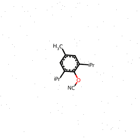 Cc1cc(C(C)C)c(OC#N)c(C(C)C)c1